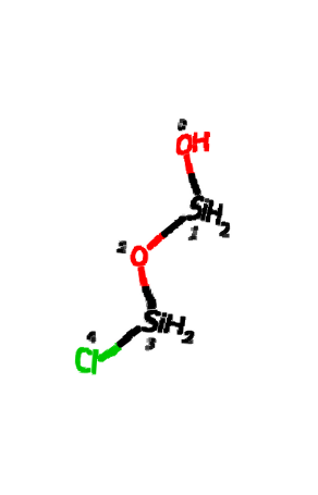 O[SiH2]O[SiH2]Cl